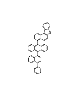 c1ccc(-c2ccc(-c3c4ccccc4c(-c4cccc5c4ccc4sc6ccccc6c45)c4ccccc34)c3ccccc23)cc1